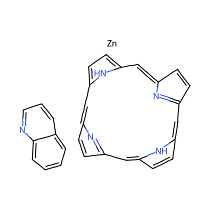 C1=Cc2cc3ccc(cc4nc(cc5ccc(cc1n2)[nH]5)C=C4)[nH]3.[Zn].c1ccc2ncccc2c1